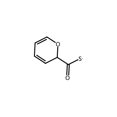 O=C([S])C1C=CC=CO1